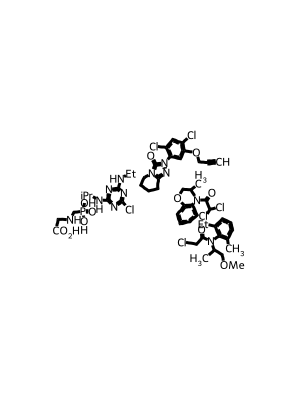 C#CCOc1cc(-n2nc3n(c2=O)CCCC3)c(Cl)cc1Cl.CC1COc2ccccc2N1C(=O)C(Cl)Cl.CCNc1nc(Cl)nc(NC(C)C)n1.CCc1cccc(C)c1N(C(=O)CCl)C(C)COC.O=C(O)CNCP(=O)(O)O